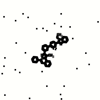 CCn1c(-c2ccc(-c3cccc(-c4nn5c(-c6ccccc6)cc6ccccc6c5c4C)c3)cc2)nc2ccccc21